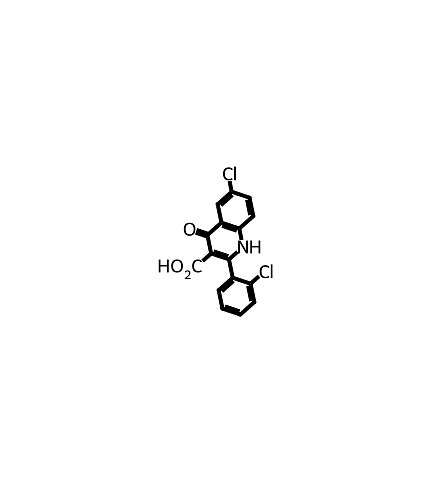 O=C(O)c1c(-c2ccccc2Cl)[nH]c2ccc(Cl)cc2c1=O